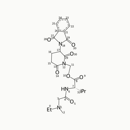 CCN(C)CC(=O)N[C@H](C(=O)OCN1C(=O)CCC(N2C(=O)c3ccccc3C2=O)C1=O)C(C)C